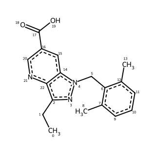 CCc1nn(Cc2c(C)cccc2C)c2cc(C(=O)O)cnc12